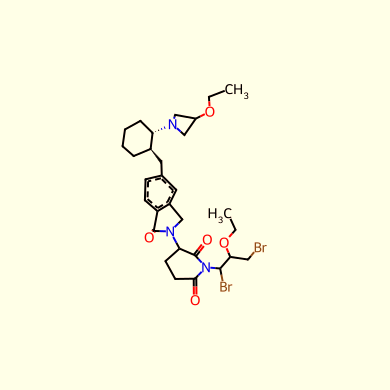 CCOC1CN([C@H]2CCCC[C@@H]2Cc2ccc3c(c2)CN(C2CCC(=O)N(C(Br)C(CBr)OCC)C2=O)C3=O)C1